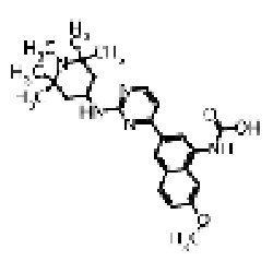 COc1ccc2cc(-c3ccnc(NC4CC(C)(C)N(C)C(C)(C)C4)n3)cc(NC(=O)O)c2c1